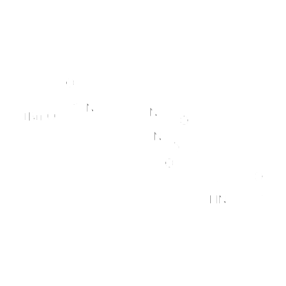 CC(C)(C)OC(=O)N1Cc2cn(S(=O)(=O)c3ccc4c(c3)NCCO4)nc2C1